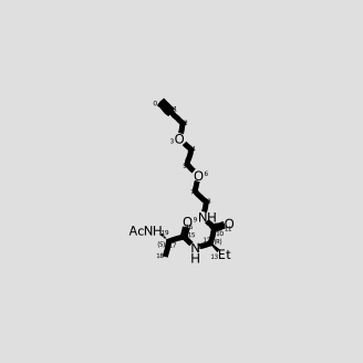 C#CCOCCOCCNC(=O)[C@@H](CC)NC(=O)[C@H](C)NC(C)=O